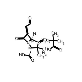 C=S1[C@@H]2C(=CC=O)C(=O)N2[C@@H](C(=O)O)C1(C)C.CC(C)(C)C(=O)O